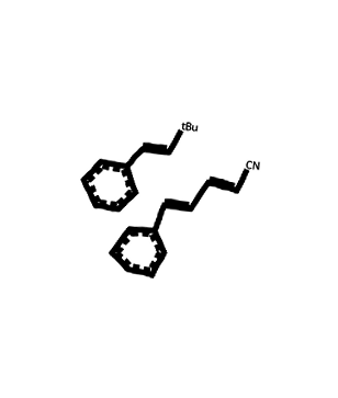 CC(C)(C)C=Cc1ccccc1.N#CC=CC=Cc1ccccc1